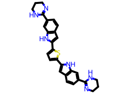 c1cc2cc(-c3ccc(-c4cc5ccc(C6=NCCCN6)cc5[nH]4)s3)[nH]c2cc1C1=NCCCN1